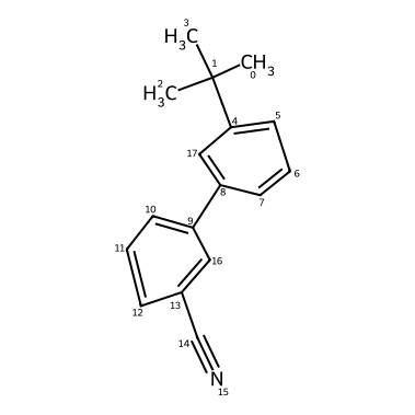 CC(C)(C)c1cccc(-c2cccc(C#N)c2)c1